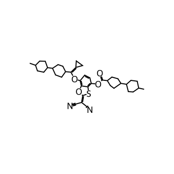 CC1CCC(C2CCC(C(=O)Oc3ccc(OC(=C4CC4)C4CCC(C5CCC(C)CC5)CC4)c4c3SC(=C(C#N)C#N)O4)CC2)CC1